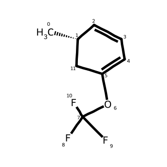 C[C@@H]1C=CC=C(OC(F)(F)F)C1